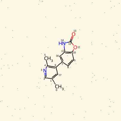 Cc1cnc(C)c(-c2ccc3oc(=O)[nH]c3c2)c1